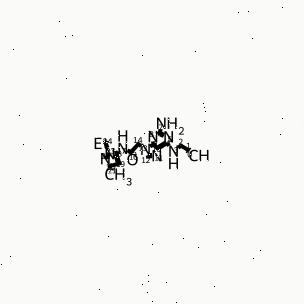 C#CCNc1nc(N)nc2c1ncn2CC(=O)Nc1cc(C)nn1CC